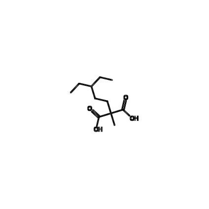 CCC(CC)CCC(C)(C(=O)O)C(=O)O